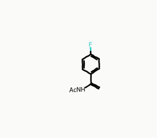 C=C(NC(C)=O)c1ccc(F)cc1